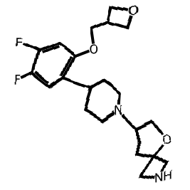 Fc1cc(OCC2COC2)c(C2CCN(C3COC4(CNC4)C3)CC2)cc1F